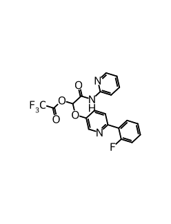 O=C(Nc1ccccn1)C(OC(=O)C(F)(F)F)Oc1ccc(-c2ccccc2F)nc1